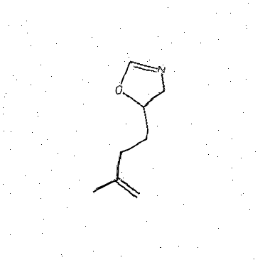 C=C(C)CCC1CN=CO1